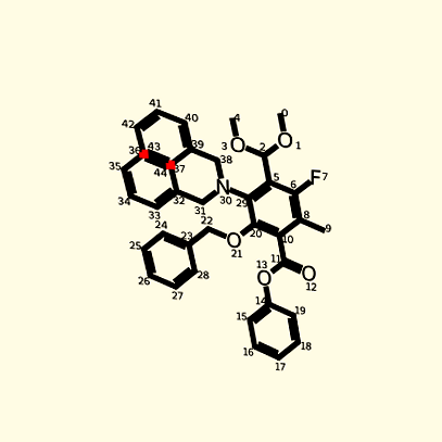 COC(OC)c1c(F)c(C)c(C(=O)Oc2ccccc2)c(OCc2ccccc2)c1N(Cc1ccccc1)Cc1ccccc1